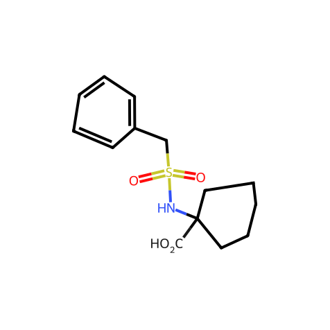 O=C(O)C1(NS(=O)(=O)Cc2ccccc2)CCCCC1